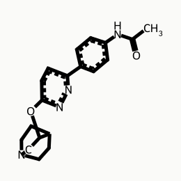 CC(=O)Nc1ccc(-c2ccc(OC3CN4CCC3CC4)nn2)cc1